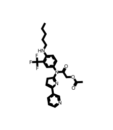 CCCCCNc1ccc(N(C(=O)COC(C)=O)C2=NC(c3cccnc3)=CC2)cc1C(F)(F)F